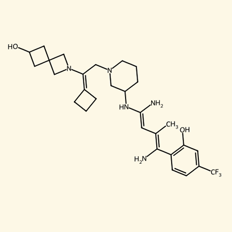 CC(/C=C(\N)NC1CCCN(CC(=C2CCC2)N2CC3(CC(O)C3)C2)C1)=C(/N)c1ccc(C(F)(F)F)cc1O